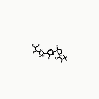 CN(C(=O)[C@@H]1CCC(=O)N1c1ccc(-c2noc(C(F)C(F)F)n2)c(F)c1)C(C)(C)C